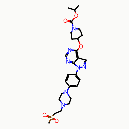 CC(C)OC(=O)N1CCC(Oc2ncnc3c2cnn3-c2ccc(N3CCN(CCS(C)(=O)=O)CC3)cc2)CC1